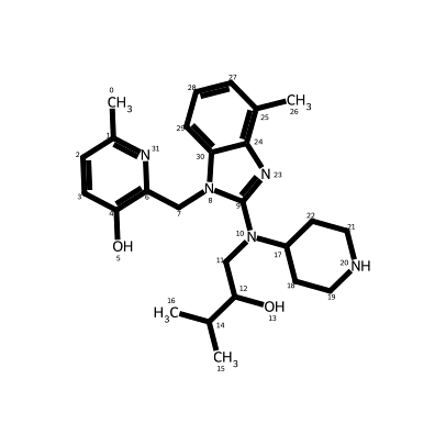 Cc1ccc(O)c(Cn2c(N(CC(O)C(C)C)C3CCNCC3)nc3c(C)cccc32)n1